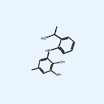 Cc1cc(Pc2ccccc2C(C)O)c(O)c(C(C)(C)C)c1